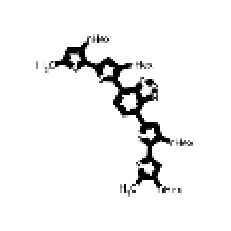 CCCCCCc1cc(-c2sc(-c3ccc(-c4sc(-c5sc(C)cc5CCCCCC)cc4CCCCCC)c4nsnc34)cc2CCCCCC)sc1C